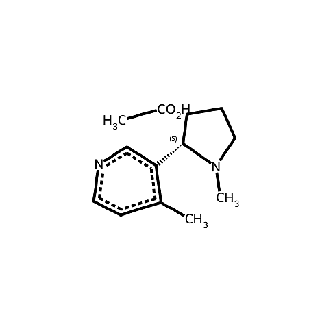 CC(=O)O.Cc1ccncc1[C@@H]1CCCN1C